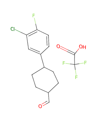 O=C(O)C(F)(F)F.O=CC1CCC(c2ccc(F)c(Cl)c2)CC1